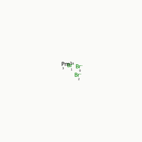 [Br-].[Br-].[Br-].[Pm+3]